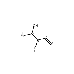 C=CC(F)C(O)CC